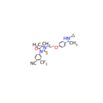 CC(NC1CC1)c1ccc(OCCCN2C(=S)N(c3ccc(C#N)c(C(F)(F)F)c3)C(=O)C2(C)C)cc1